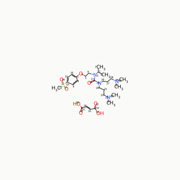 CC(C)N(CCOc1ccc(S(C)(=O)=O)cc1)C(=O)N(CCCN(C)C)CCCN(C)C.O=C(O)/C=C/C(=O)O